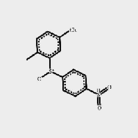 Cc1ccc(C(C)(C)C)cc1[S+]([O-])c1ccc([SH](=O)=O)cc1